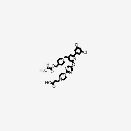 CNC(=O)OCC1CCN(Cc2cc(Oc3cnc(N4CCN(CCC(=O)O)CC4)nc3)nc(-c3cc(Cl)cc(Cl)c3)c2)CC1